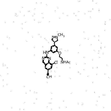 C#Cc1cc(Cl)c2nc(Nc3cc(OCCNC(C)=O)cc(C4C=NN(C)C4)c3)ncc2c1